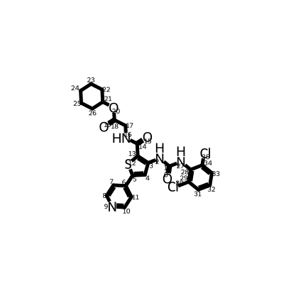 O=C(Nc1cc(-c2ccncc2)sc1C(=O)NCC(=O)OC1CCCCC1)Nc1c(Cl)cccc1Cl